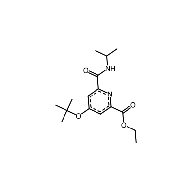 CCOC(=O)c1cc(OC(C)(C)C)cc(C(=O)NC(C)C)n1